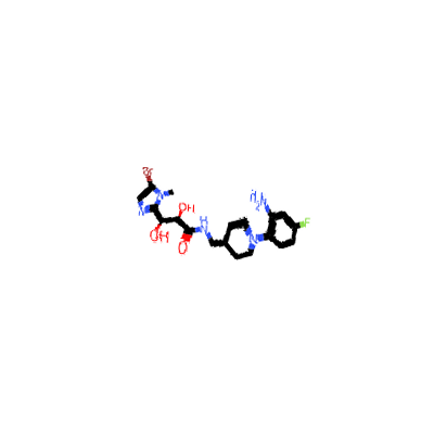 Cn1c(Br)cnc1[C@H](O)[C@@H](O)C(=O)NCC1CCN(c2ccc(F)cc2N)CC1